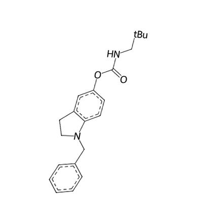 CC(C)(C)CNC(=O)Oc1ccc2c(c1)CCN2Cc1ccccc1